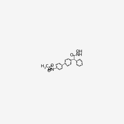 CS(=O)(=O)Nc1ccc(-c2ccc(C(C(=O)NO)c3ccccc3)cc2)cc1